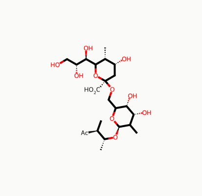 CC(=O)[C@@H](C)[C@@H](C)O[C@H]1OC(CO[C@]2(C(=O)O)C[C@@H](O)[C@@H](C)C([C@H](O)[C@H](O)CO)O2)[C@H](O)[C@H](O)C1C